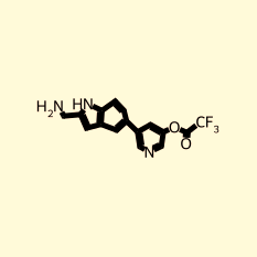 NCc1cc2cc(-c3cncc(OC(=O)C(F)(F)F)c3)ccc2[nH]1